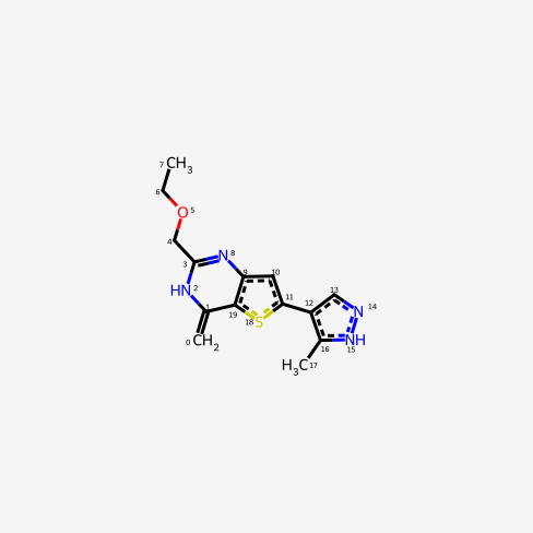 C=C1NC(COCC)=Nc2cc(-c3cn[nH]c3C)sc21